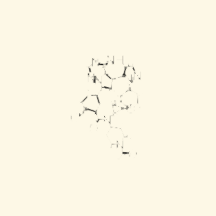 CC(=O)N1CCC(N(C(=O)c2cc(-c3cc(-c4ccnn4C4CCOCC4)c4c(N)ncnn34)ccc2Cl)C2CC2)CC1